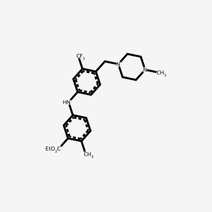 CCOC(=O)c1cc(Nc2ccc(CN3CCN(C)CC3)c(C(F)(F)F)c2)ccc1C